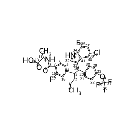 CCCC(c1ccc(C(=O)NC(C)C(=O)O)c(F)c1)C(c1ccc(OC(F)(F)F)cc1)c1c[nH]c2c(F)cc(Cl)cc12